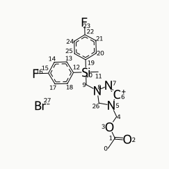 CC(=O)OCN1[C+]=NN(C[Si](C)(c2ccc(F)cc2)c2ccc(F)cc2)C1.[Br-]